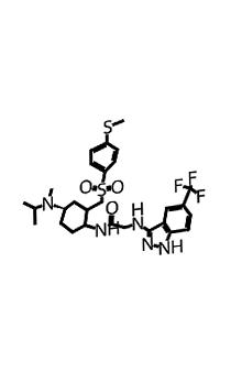 CSc1ccc(S(=O)(=O)CC2C[C@H](N(C)C(C)C)CCC2NC(=O)CNc2n[nH]c3ccc(C(F)(F)F)cc23)cc1